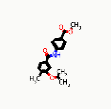 COC(=O)c1ccc(NC(=O)c2ccc(C)c(OC(C)C)c2)cc1